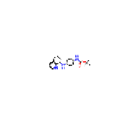 CC(C)(C)OC(=O)NC1CCC(NC2CCCc3cccnc32)CC1